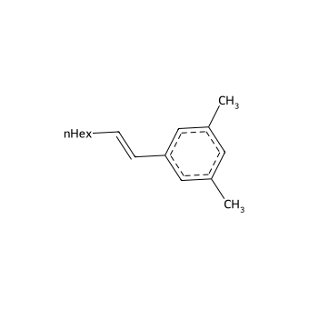 CCCCCC/C=C/c1cc(C)cc(C)c1